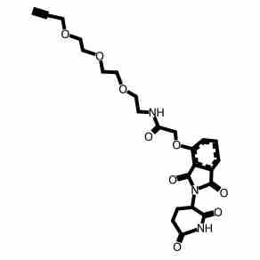 C#CCOCCOCCOCCNC(=O)COc1cccc2c1C(=O)N(C1CCC(=O)NC1=O)C2=O